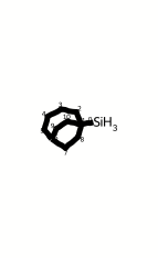 [SiH3]C12CCCCC(CC1)CC2